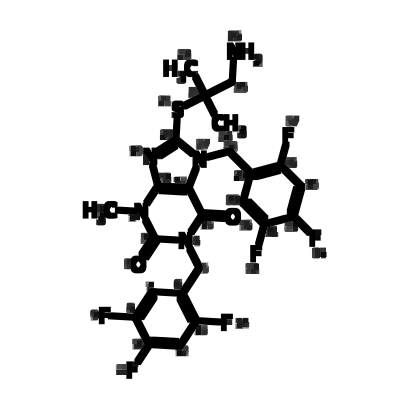 Cn1c(=O)n(Cc2cc(F)c(F)cc2F)c(=O)c2c1nc(SC(C)(C)CN)n2Cc1cc(F)c(F)cc1F